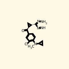 CN(c1ccc(C(=O)[C@H]2C[C@@H]2/C(N=N)=N/N)cc1Cl)C1CC1